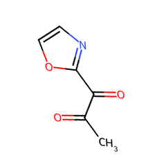 CC(=O)C(=O)c1ncco1